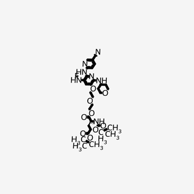 CC(C)(C)OC(=O)CC[C@H](NC(=O)OC(C)(C)C)C(=O)OCCOCCOc1cc(NF)c(Nc2ccc(C#N)cn2)nc1NC1CCOCC1